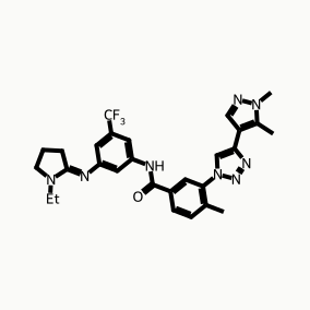 CCN1CCC/C1=N\c1cc(NC(=O)c2ccc(C)c(-n3cc(-c4cnn(C)c4C)nn3)c2)cc(C(F)(F)F)c1